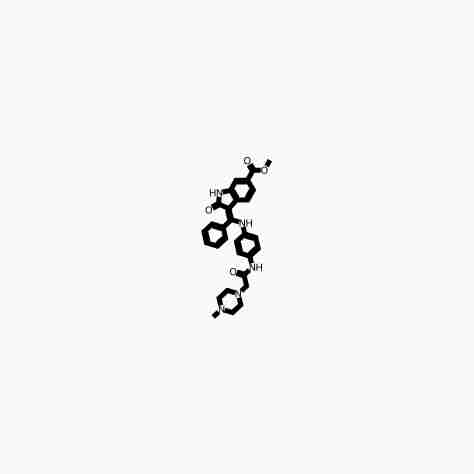 COC(=O)c1ccc2c(c1)NC(=O)C2=C(Nc1ccc(NC(=O)CN2CCN(C)CC2)cc1)c1ccccc1